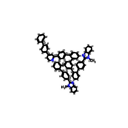 Cn1c(-c2ccc(-c3ccccc3-c3cc(-c4ccccc4-c4ccc(-c5cc(-c6ccc(-c7ccccc7)cc6)ccn5)cc4)cc(-c4ccccc4-c4ccc(-c5nc6ccccc6n5C)cc4)c3)cc2)nc2ccccc21